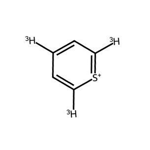 [3H]c1cc([3H])[s+]c([3H])c1